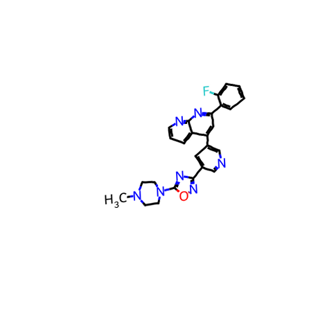 CN1CCN(c2nc(-c3cncc(-c4cc(-c5ccccc5F)nc5ncccc45)c3)no2)CC1